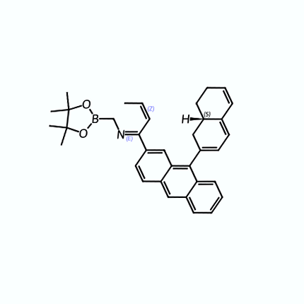 C/C=C\C(=N/CB1OC(C)(C)C(C)(C)O1)c1ccc2cc3ccccc3c(C3=CC=C4C=CCC[C@H]4C3)c2c1